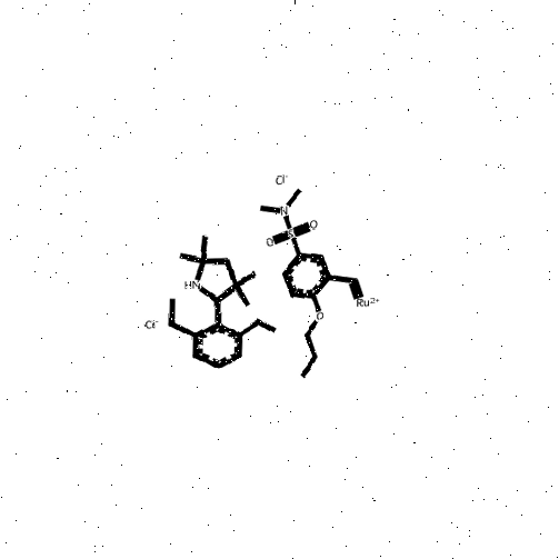 CCCOc1ccc(S(=O)(=O)N(C)C)cc1[CH]=[Ru+2].CCc1cccc(CC)c1C1NC(C)(C)CC1(C)C.[Cl-].[Cl-]